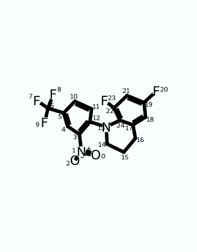 O=[N+]([O-])c1cc(C(F)(F)F)ccc1N1CCCc2cc(F)cc(F)c21